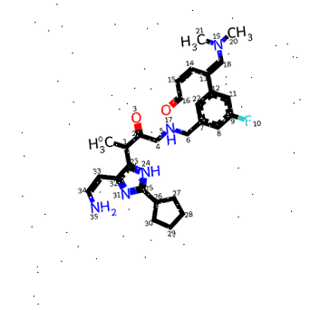 CC(C(=O)CNCc1cc(F)cc(C(/C=C\C=O)=C/N(C)C)c1)c1[nH]c(C2CCCC2)nc1/C=C\N